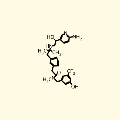 CN(Cc1cc(O)cc(C(F)(F)F)c1)C(=O)Cc1cccc(CC(C)(C)NC[C@@H](O)c2ccc(N)nc2)c1